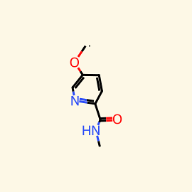 [CH2]Oc1ccc(C(=O)NC)nc1